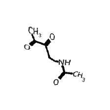 CC(=O)NCC(=O)C(C)=O